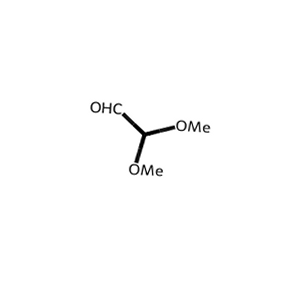 CO[C](C=O)OC